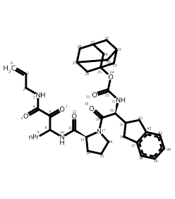 C=CCNC(=O)C(=O)C(CCC)NC(=O)[C@@H]1CCCN1C(=O)[C@@H](NC(=O)OC12CC3CC(CC(C3)C1)C2)C1Cc2ccccc2C1